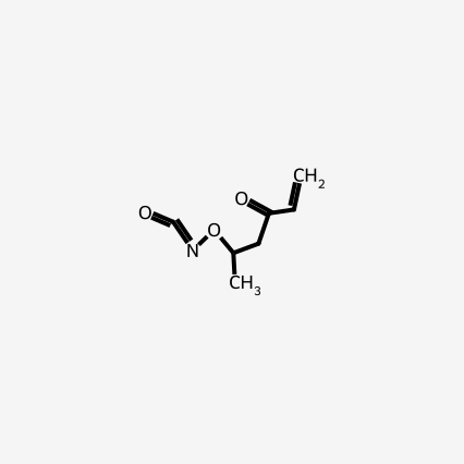 C=CC(=O)CC(C)ON=C=O